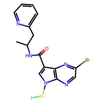 CC(Cc1ccccn1)NC(=O)c1cn(SF)c2ncc(Br)nc12